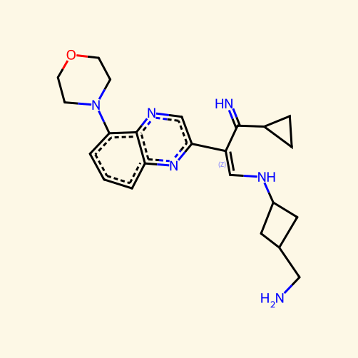 N=C(/C(=C\NC1CC(CN)C1)c1cnc2c(N3CCOCC3)cccc2n1)C1CC1